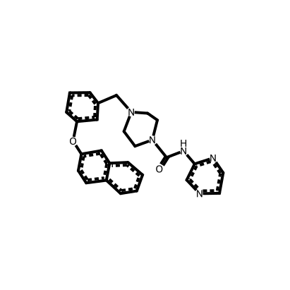 O=C(Nc1cnccn1)N1CCN(Cc2cccc(Oc3ccc4ccccc4c3)c2)CC1